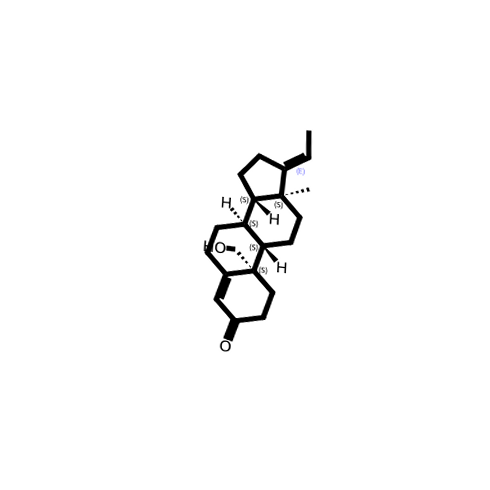 C/C=C1\CC[C@H]2[C@@H]3CCC4=CC(=O)CC[C@]4(CO)[C@H]3CC[C@]12C